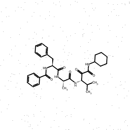 CC(C)[C@H](NC(=O)[C@H](C)NC(=O)[C@H](Cc1ccccc1)NC(=O)c1ccccc1)C(=O)C(=O)NC1CCCCC1